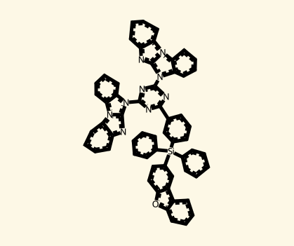 c1ccc([Si](c2ccccc2)(c2cccc(-c3nc(-n4c5ccccc5n5c6ccccc6nc45)nc(-n4c5ccccc5n5c6ccccc6nc45)n3)c2)c2ccc3oc4ccccc4c3c2)cc1